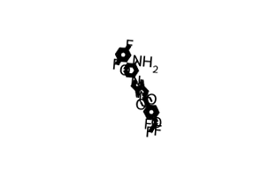 N[C@H]1C[C@@H](N2CC3=C(C2)CN(S(=O)(=O)c2ccc(OC(F)(F)F)cc2)C3)CO[C@@H]1c1cc(F)ccc1F